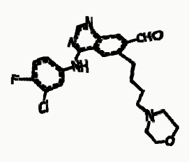 O=Cc1cc2ncnc(Nc3ccc(F)c(Cl)c3)c2cc1CCCCN1CCOCC1